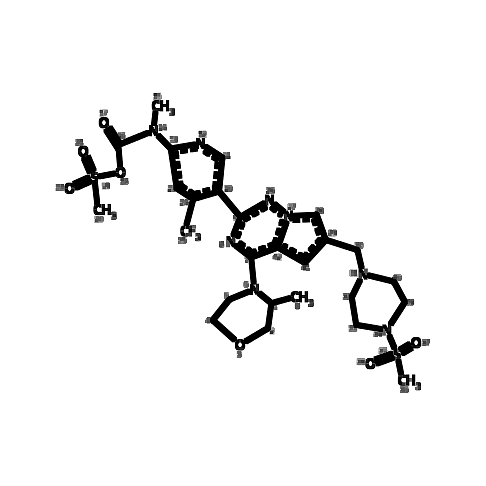 CC1COCCN1c1nc(-c2cnc(N(C)C(=O)OS(C)(=O)=O)cc2C(F)(F)F)nn2cc(CN3CCN(S(C)(=O)=O)CC3)cc12